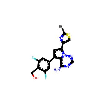 CCc1nc(-c2cc(-c3cc(F)c(CO)c(F)c3)c3c(N)ncnn23)cs1